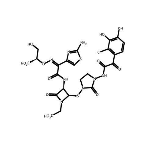 Nc1nc(/C(=N/O[C@H](CO)C(=O)O)C(=O)N[C@@H]2C(=O)N(CC(=O)O)[C@@H]2SN2CCN(NC(=O)C(=O)c3ccc(O)c(O)c3Cl)C2=O)cs1